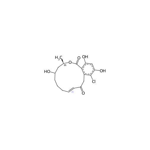 C[C@@H]1CC(O)CCC/C=C/C(=O)Cc2c(Cl)c(O)cc(O)c2C(=O)O1